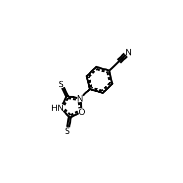 N#Cc1ccc(-n2oc(=S)[nH]c2=S)cc1